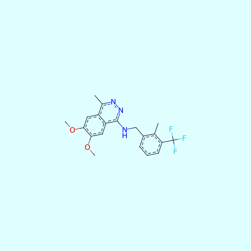 COc1cc2c(C)nnc(NCc3cccc(C(F)(F)F)c3C)c2cc1OC